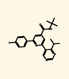 CC(C)c1ncncc1-c1cc(C(=O)NC(C)(C)C)cc(-c2ccc(F)cc2)n1